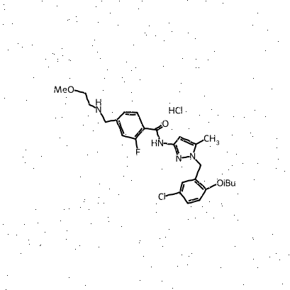 COCCNCc1ccc(C(=O)Nc2cc(C)n(Cc3cc(Cl)ccc3OCC(C)C)n2)c(F)c1.Cl